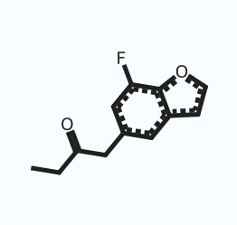 CCC(=O)Cc1cc(F)c2occc2c1